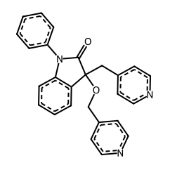 O=C1N(c2ccccc2)c2ccccc2C1(Cc1ccncc1)OCc1ccncc1